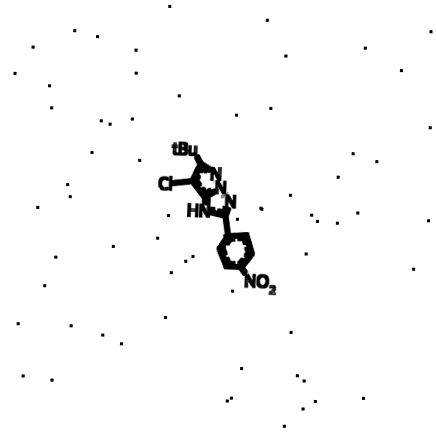 CC(C)(C)c1nn2nc(-c3ccc([N+](=O)[O-])cc3)[nH]c2c1Cl